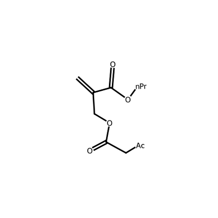 C=C(COC(=O)CC(C)=O)C(=O)OCCC